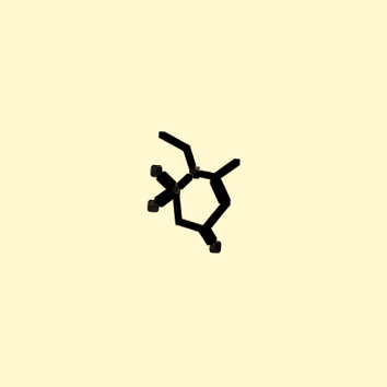 CCN1C(C)=CC(=O)CS1(=O)=O